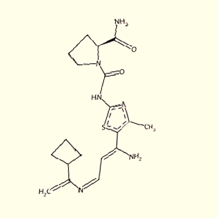 C=C(/N=C\C=C(/N)c1sc(NC(=O)N2CCC[C@H]2C(N)=O)nc1C)C1CCC1